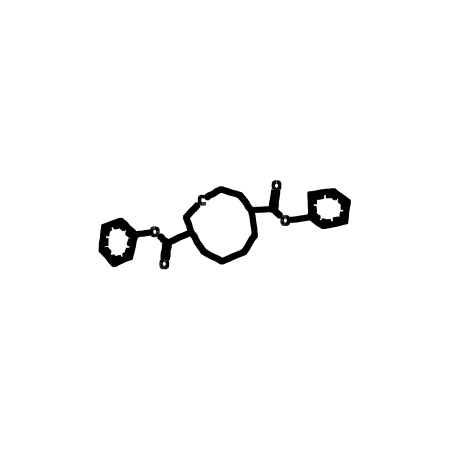 O=C(Oc1ccccc1)C1CCCCC(C(=O)Oc2ccccc2)CCCC1